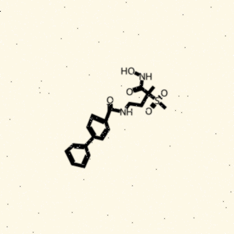 CC(CCNC(=O)c1ccc(-c2ccccc2)cc1)(C(=O)NO)S(C)(=O)=O